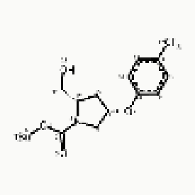 CC(C)(C)OC(=O)N1C[C@@H](Oc2ccc(C(F)(F)F)cc2)C[C@H]1CO